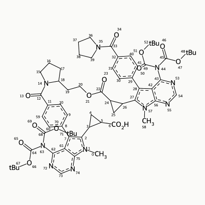 Cn1c(C2CC2C(=O)O)c(-c2ccc(C(=O)N3CCCC3CCOC(=O)C3CC3c3c(-c4ccc(C(=O)N5CCCC5)cc4)c4c(N(C(=O)OC(C)(C)C)C(=O)OC(C)(C)C)ncnc4n3C)cc2)c2c(N(C(=O)OC(C)(C)C)C(=O)OC(C)(C)C)ncnc21